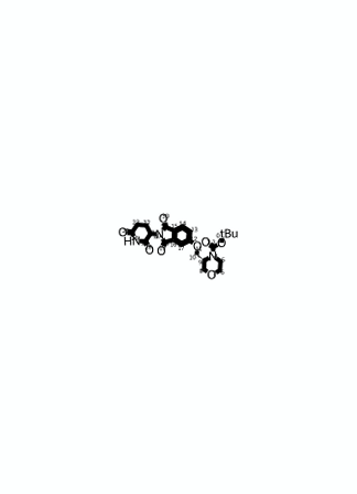 CC(C)(C)OC(=O)N1CCOC[C@@H]1COc1ccc2c(c1)C(=O)N(C1CCC(=O)NC1=O)C2=O